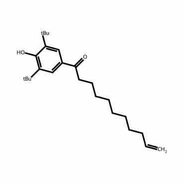 C=CCCCCCCCCC(=O)c1cc(C(C)(C)C)c(O)c(C(C)(C)C)c1